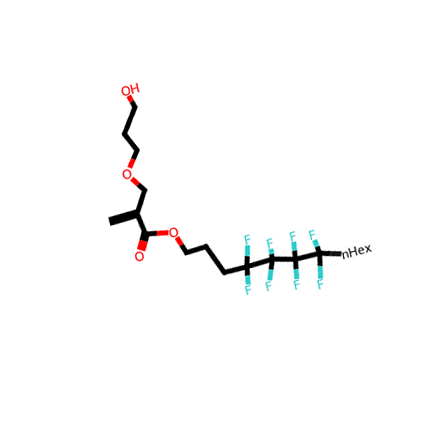 C=C(COCCCO)C(=O)OCCCC(F)(F)C(F)(F)C(F)(F)C(F)(F)CCCCCC